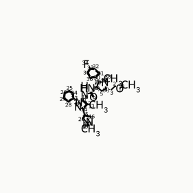 COCC[C@@H]1C[C@@H](NC(=O)Nc2c(C)c(-c3cnn(C)c3)nn2-c2ccccc2)[C@H](c2ccc(F)cc2)N1C